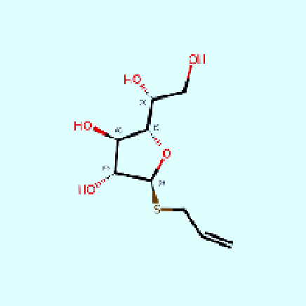 C=CCS[C@@H]1O[C@@H]([C@H](O)CO)[C@H](O)[C@H]1O